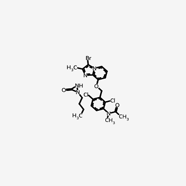 CC(=O)N(C)c1ccc(Cl)c(COc2cccn3c(Br)c(C)nc23)c1Cl.CCCCN1NC1=O